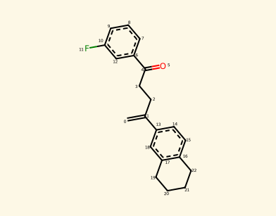 C=C(CCC(=O)c1cccc(F)c1)c1ccc2c(c1)CCCC2